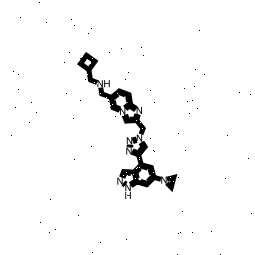 c1cc2nc(Cn3cc(-c4cc(N5CC5)cc5[nH]ncc45)nn3)cn2cc1CNCC1CCC1